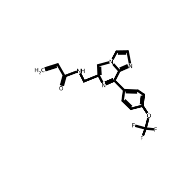 C=CC(=O)NCc1cn2ccnc2c(-c2ccc(OC(F)(F)F)cc2)n1